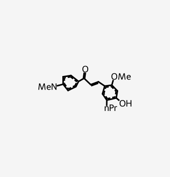 CCCc1cc(/C=C/C(=O)c2ccc(NC)cc2)c(OC)cc1O